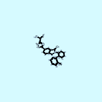 O=C1c2cc(-c3nnc(C(F)F)o3)ccc2CN1c1ccccc1-c1ccccc1F